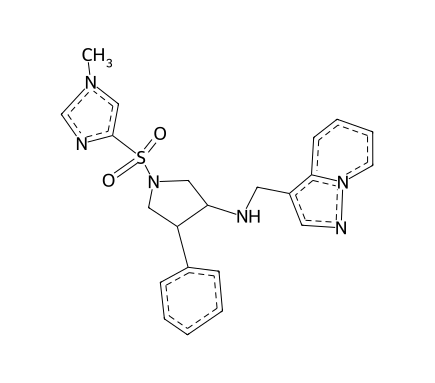 Cn1cnc(S(=O)(=O)N2CC(NCc3cnn4ccccc34)C(c3ccccc3)C2)c1